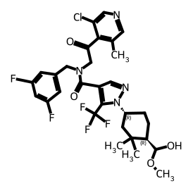 COC(O)[C@@H]1CC[C@@H](n2ncc(C(=O)N(CC(=O)c3c(C)cncc3Cl)Cc3cc(F)cc(F)c3)c2C(F)(F)F)CC1(C)C